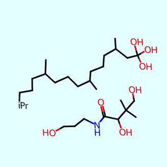 CC(C)(CO)C(O)C(=O)NCCCO.CC(C)CCCC(C)CCCC(C)CCCC(C)CC(O)(O)O